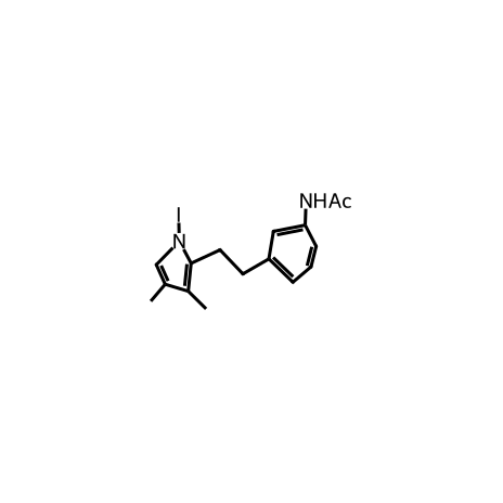 CC(=O)Nc1cccc(CCc2c(C)c(C)cn2I)c1